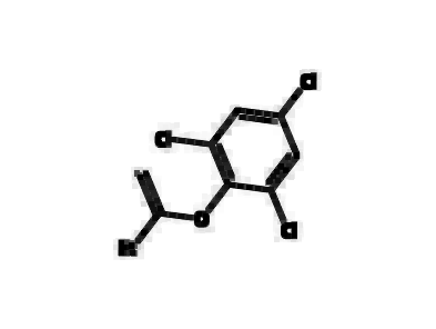 [CH]=C(CC)Oc1c(Cl)cc(Cl)cc1Cl